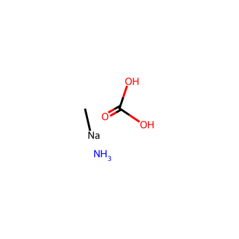 N.O=C(O)O.[CH3][Na]